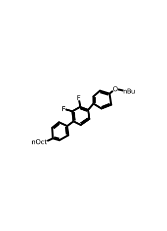 CCCCCCCCc1ccc(-c2ccc(-c3ccc(OCCCC)cc3)c(F)c2F)cc1